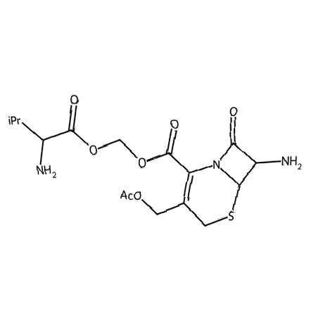 CC(=O)OCC1=C(C(=O)OCOC(=O)C(N)C(C)C)N2C(=O)C(N)C2SC1